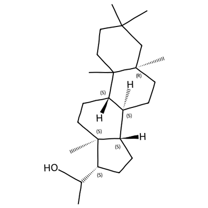 CC(O)[C@H]1CC[C@H]2[C@@H]3CC[C@]4(C)CC(C)(C)CCC4(C)[C@H]3CC[C@]12C